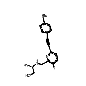 CC(C)[C@H](CO)NCc1nc(C#Cc2ccc(C(C)(C)C)cc2)ccc1F